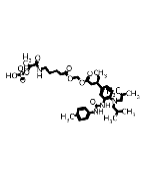 CCC(CC(=O)OCOC(=O)CCCCNC(=O)C(C)OP(=O)(O)O)c1ccc(N(CC(C)C)CC(C)C)c(NC(=O)Nc2ccc(C)cc2)c1